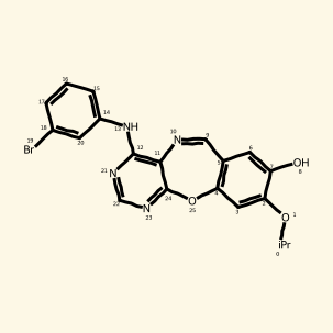 CC(C)Oc1cc2c(cc1O)C=Nc1c(Nc3cccc(Br)c3)ncnc1O2